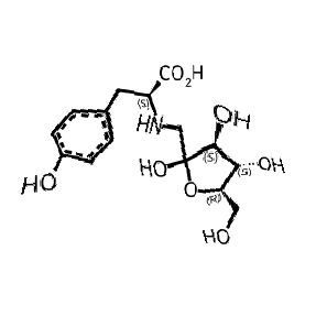 O=C(O)[C@H](Cc1ccc(O)cc1)NCC1(O)O[C@H](CO)[C@@H](O)[C@@H]1O